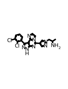 CC(N)Cn1cc(-c2nc3[nH]nc(-c4cccc(Cl)c4Cl)c3c3nccn23)cn1